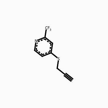 C#CCSc1ccnc(C(F)(F)F)c1